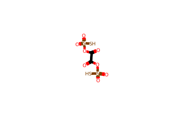 O=C(OS(=O)(=O)S)C(=O)OS(=O)(=O)S